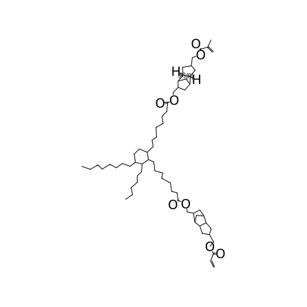 C=CC(=O)OCC1CC2C3CC(COC(=O)CCCCCCCC4C(CCCCCCCC(=O)OCC5CC6CC5[C@@H]5CC(COC(=O)C(=C)C)C[C@H]65)CCC(CCCCCCCC)C4CCCCCC)C(C3)C2C1